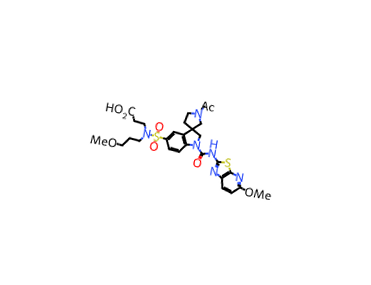 COCCCN(CCC(=O)O)S(=O)(=O)c1ccc2c(c1)C1(CCN(C(C)=O)C1)CN2C(=O)Nc1nc2ccc(OC)nc2s1